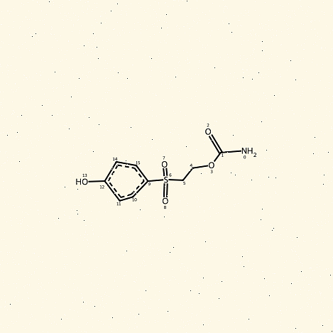 NC(=O)OCCS(=O)(=O)c1ccc(O)cc1